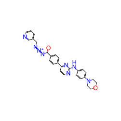 O=C(N=[N+]=NCc1cccnc1)c1ccc(-c2ccnc(Nc3ccc(N4CCOCC4)cc3)n2)cc1